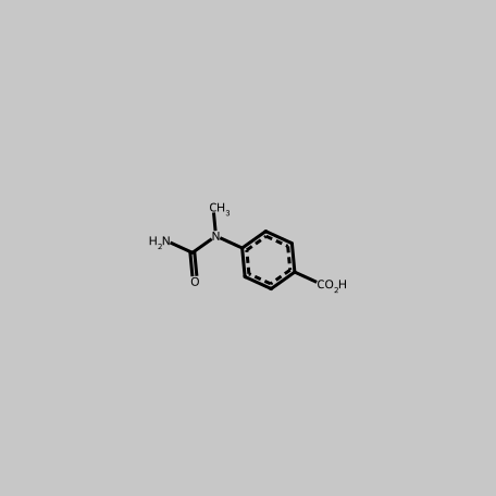 CN(C(N)=O)c1ccc(C(=O)O)cc1